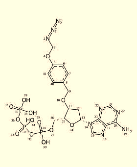 [N-]=[N+]=NCOc1ccc(COC2C[C@H](n3cnc4c(N)ncnc43)O[C@@H]2COP(=O)(O)OP(=O)(O)OP(=O)(O)O)cc1